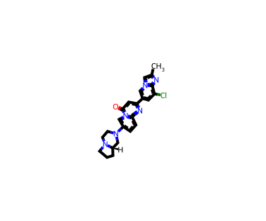 Cc1cn2cc(-c3cc(=O)n4cc(N5CCN6CCC[C@H]6C5)ccc4n3)cc(Cl)c2n1